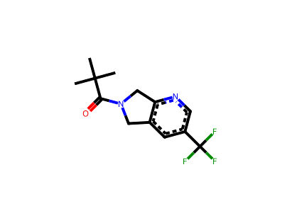 CC(C)(C)C(=O)N1Cc2cc(C(F)(F)F)cnc2C1